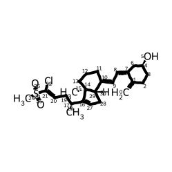 C=C1CC[C@H](O)C/C1=C/C=C1\CCC[C@]2(C)C([C@H](C)C/C=C(\Cl)S(C)(=O)=O)=CC[C@@H]12